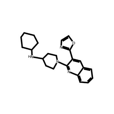 c1ccc2nc(N3CCC(NC4CCCCC4)CC3)c(-c3ncco3)cc2c1